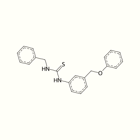 S=C(NCc1ccccc1)Nc1cccc(COc2ccccc2)c1